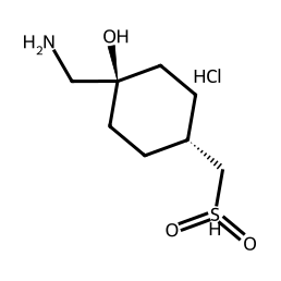 Cl.NC[C@]1(O)CC[C@H](C[SH](=O)=O)CC1